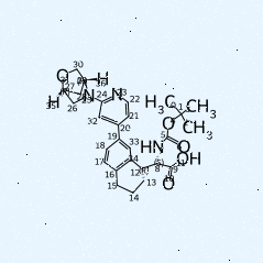 CC(C)(C)OC(=O)N[C@H](C(=O)O)[C@@H]1CCCc2ccc(-c3ccnc(N4C[C@H]5C[C@@H]4CO5)c3)cc21